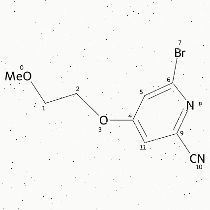 COCCOc1cc(Br)nc(C#N)c1